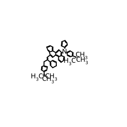 CC(C)(C)c1ccc(C/C(=C/c2cc3c4ccccc4c(N(c4ccccc4)c4ccc(C(C)(C)C)cc4)cc3c3ccccc23)C2=CCCC=C2)cc1